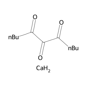 CCCCC(=O)C(=O)C(=O)CCCC.[CaH2]